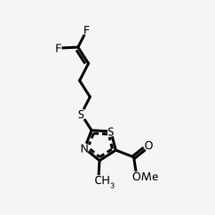 COC(=O)c1sc(SCCC=C(F)F)nc1C